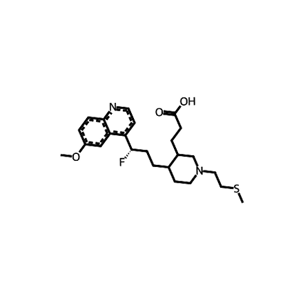 COc1ccc2nccc([C@@H](F)CCC3CCN(CCSC)CC3CCC(=O)O)c2c1